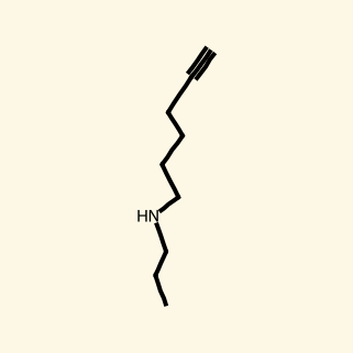 C#CCCCCNCCC